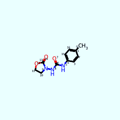 Cc1ccc(NC(=O)NN2CCOC2=O)cc1